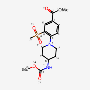 COC(=O)c1ccc(N2CCC(NC(=O)OC(C)(C)C)CC2)c(S(C)(=O)=O)c1